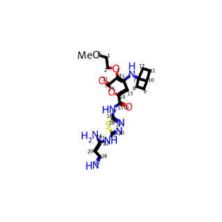 COCCOc1c(NC23CCC2CC3)cc(C(=O)Nc2nnc(N/C(N)=C\C=N)s2)oc1=O